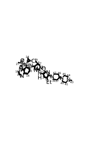 CCc1cc(Nc2ncc(Cl)c(Nc3ccc4nccnc4c3N(C3CC3)S(C)(=O)=O)n2)c(OC)nc1N1CCC(N2CCN(C)CC2)CC1